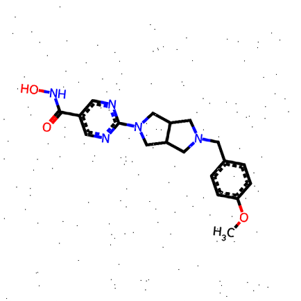 COc1ccc(CN2CC3CN(c4ncc(C(=O)NO)cn4)CC3C2)cc1